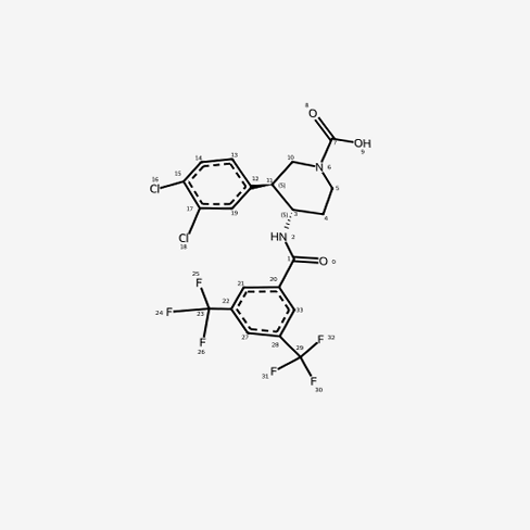 O=C(N[C@H]1CCN(C(=O)O)C[C@@H]1c1ccc(Cl)c(Cl)c1)c1cc(C(F)(F)F)cc(C(F)(F)F)c1